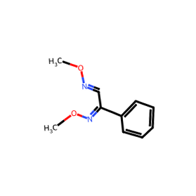 CON=CC(=NOC)c1ccccc1